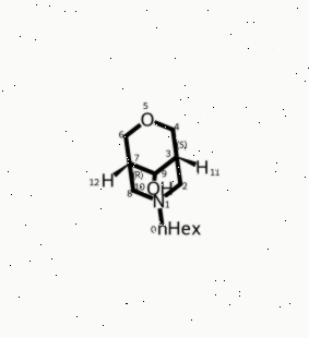 CCCCCCN1C[C@H]2COC[C@@H](C1)C2O